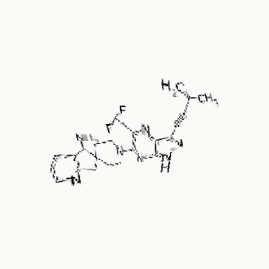 C=C(C)C#Cc1n[nH]c2nc(N3CCC4(CC3)Cc3ncccc3[C@H]4N)c(C(F)F)nc12